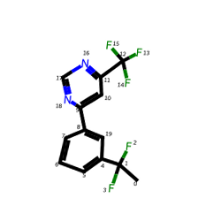 CC(F)(F)c1cccc(-c2cc(C(F)(F)F)ncn2)c1